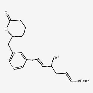 CCCCCC=CCC(O)C=Cc1cccc(CC2CCCC(=O)O2)c1